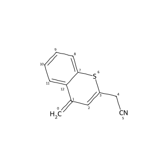 C=C1C=C(CC#N)Sc2ccccc21